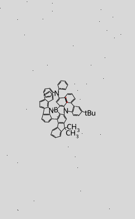 CC(C)(C)c1ccc(N2c3ccc(N(c4ccccc4)c4ccccc4)cc3B3c4c2cc2c(c4-c4cccc5c6ccc7ccccc7c6n3c45)-c3ccccc3C2(C)C)c(-c2ccccc2)c1